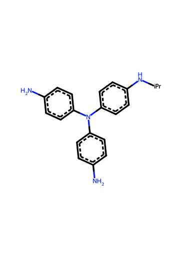 CC(C)Nc1ccc(N(c2ccc(N)cc2)c2ccc(N)cc2)cc1